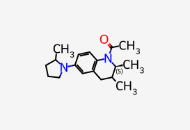 CC(=O)N1c2ccc(N3CCCC3C)cc2CC(C)[C@@H]1C